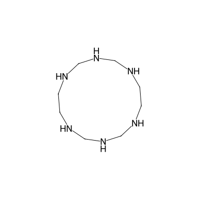 C1CNCNCNCCNCNCN1